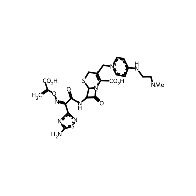 C=C(O/N=C(\C(=O)NC1C(=O)N2C(C(=O)O)=C(C[n+]3ccc(NCCNC)cc3)CSC12)c1nsc(N)n1)C(=O)O